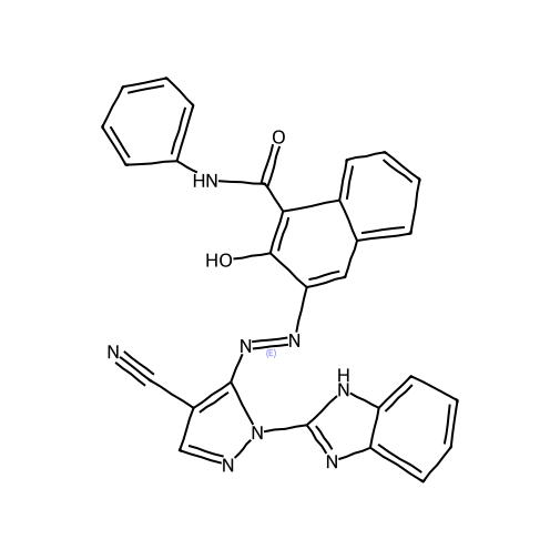 N#Cc1cnn(-c2nc3ccccc3[nH]2)c1/N=N/c1cc2ccccc2c(C(=O)Nc2ccccc2)c1O